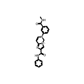 CNC(=O)c1cccc(N2C=CC3=NC(C(=O)Nc4ccccc4)=C[N+]3C2)c1